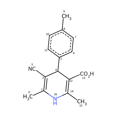 CC1=C(C#N)C(c2ccc(C)cc2)C(C(=O)O)=C(C)N1